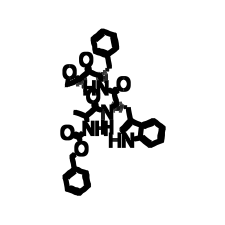 CC(NC(=O)OCc1ccccc1)C(=O)N[C@@H](Cc1c[nH]c2ccccc12)C(=O)N[C@@H](Cc1ccccc1)C(=O)[C@@]1(C)CO1